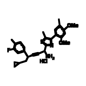 COc1cc(OC)c(-c2nc(C(N)C#C[C@@H](CC3CC3)c3ccc(C)c(F)c3)sc2C)cc1C.Cl